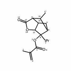 C=C(C)C(=O)OC1(C(C)C)C2CC3C(C(=O)OC31)C2C